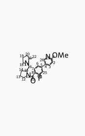 COc1ccc(-c2ccc(C(=O)N3CCCC3CN3CCCC3C)c(F)c2)cn1